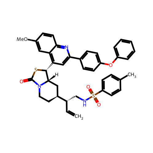 C=C[C@@H](CNS(=O)(=O)c1ccc(C)cc1)[C@H]1CCN2C(=O)S[C@H](c3cc(-c4ccc(Oc5ccccc5)cc4)nc4ccc(OC)cc34)[C@@H]2C1